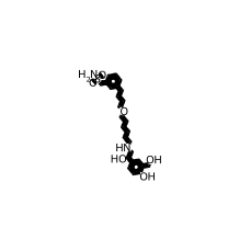 NS(=O)(=O)Cc1cccc(CCCCOCCCCCCNC[C@@H](O)c2ccc(O)c(CO)c2)c1